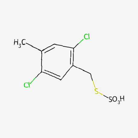 Cc1cc(Cl)c(CSS(=O)(=O)O)cc1Cl